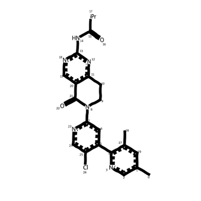 Cc1cnc(-c2cc(N3CCc4nc(NC(=O)C(C)C)ncc4C3=O)ncc2Cl)c(C)c1